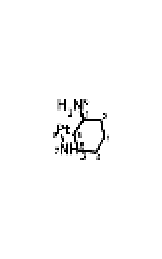 NC1CCCCC1.[NH2][Pt]